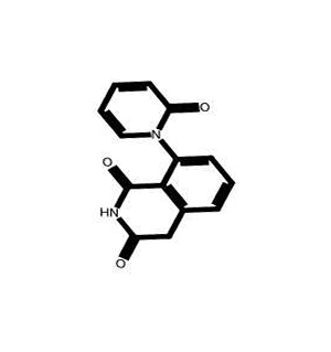 O=C1Cc2cccc(-n3ccccc3=O)c2C(=O)N1